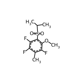 COc1c(F)c(C)c(F)c(F)c1S(=O)(=O)C(C)C